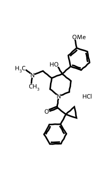 COc1cccc(C2(O)CCN(C(=O)C3(c4ccccc4)CC3)CC2CN(C)C)c1.Cl